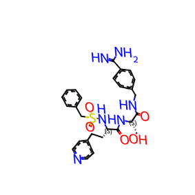 N=C(N)c1ccc(CNC(=O)[C@H](CO)NC(=O)[C@H](CCc2ccncc2)NS(=O)(=O)Cc2ccccc2)cc1